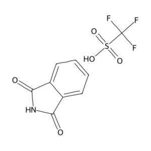 O=C1NC(=O)c2ccccc21.O=S(=O)(O)C(F)(F)F